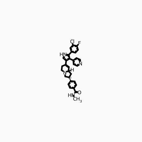 CNC(=O)c1ccc([C@@H]2C[C@H]3C=C(c4c[nH]c(-c5ccc(F)c(Cl)c5)c4-c4ccncc4)CCN3C2)cc1